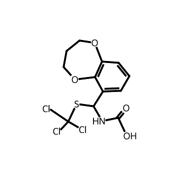 O=C(O)NC(SC(Cl)(Cl)Cl)c1cccc2c1OCCCO2